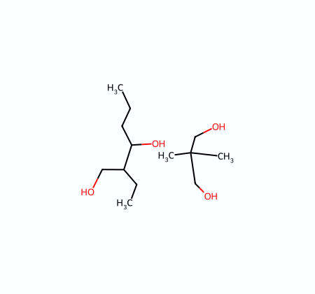 CC(C)(CO)CO.CCCC(O)C(CC)CO